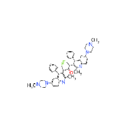 Cc1nc2ccc(N3CCN(C)CC3)cc2c(-c2ccccc2)c1C(CF)C(=O)C(CF)c1c(C)nc2ccc(N3CCN(C)CC3)cc2c1-c1ccccc1